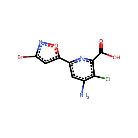 Nc1cc(-c2cc(Br)no2)nc(C(=O)O)c1Cl